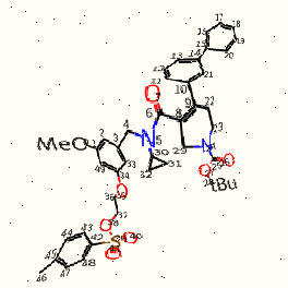 COc1cc(CN(C(=O)C2=C(c3cccc(-c4ccccc4)c3)CCN(C(=O)OC(C)(C)C)C2)C2CC2)cc(OCCOS(=O)(=O)c2ccc(C)cc2)c1